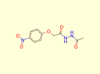 CC(=O)NNC(=O)COc1ccc([N+](=O)[O-])cc1